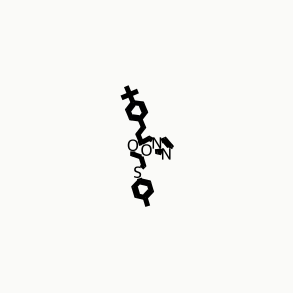 Cc1ccc(SCC2COC(CCc3ccc(C(C)(C)C)cc3)(Cn3ccnc3)O2)cc1